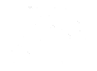 COC(=O)c1ccc2nc(C)n(Cc3ccc(N4CCCC4=O)cc3Cl)c2n1